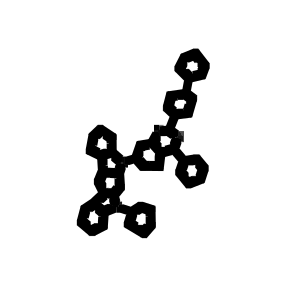 c1ccc(-c2ccc(-c3nc(-c4ccccc4)c4ccc(-n5c6ccccc6c6cc7c8ccccc8n(-c8ccccc8)c7cc65)cc4n3)cc2)cc1